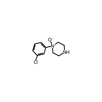 [O-][N+]1(c2cccc(Cl)c2)CCNCC1